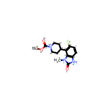 Cn1c(=O)[nH]c2ccc(F)c(C3CCN(C(=O)OC(C)(C)C)CC3)c21